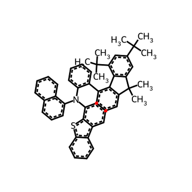 CC(C)(C)c1cc(C(C)(C)C)c2c(c1)C(C)(C)c1cccc(-c3ccccc3N(c3cccc4ccccc34)c3cccc4c3sc3ccccc34)c1-2